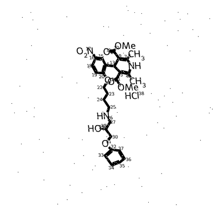 COC(=O)C1=C(C)NC(C)=C(C(=O)OC)C1c1cc([N+](=O)[O-])ccc1OCCCCNC[C@H](O)COc1ccccc1.Cl